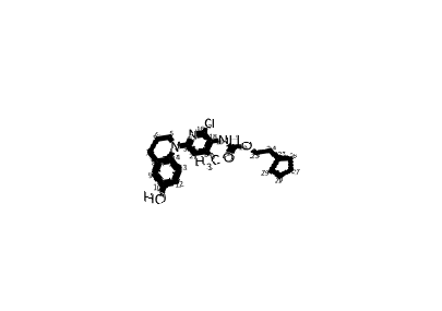 Cc1cc(N2CCCc3cc(O)ccc32)nc(Cl)c1NC(=O)OCCC1CCCC1